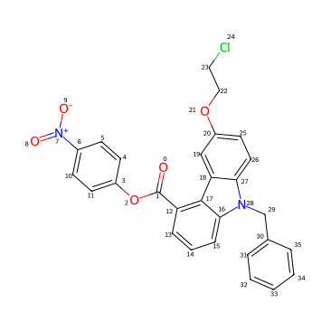 O=C(Oc1ccc([N+](=O)[O-])cc1)c1cccc2c1c1cc(OCCCl)ccc1n2Cc1ccccc1